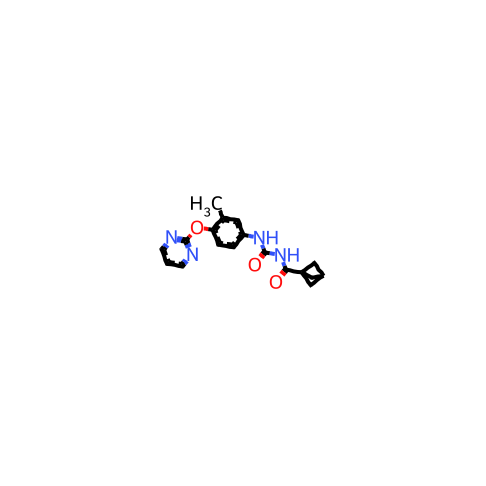 Cc1cc(NC(=O)NC(=O)C23CC(C2)C3)ccc1Oc1ncccn1